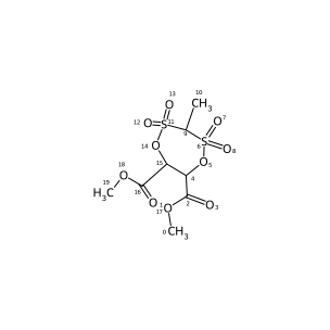 COC(=O)C1OS(=O)(=O)C(C)S(=O)(=O)OC1C(=O)OC